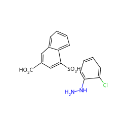 NNc1ccccc1Cl.O=C(O)c1cc(S(=O)(=O)O)c2ccccc2c1